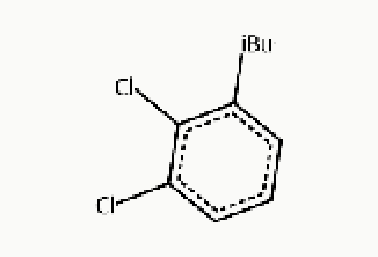 CC[C](C)c1cccc(Cl)c1Cl